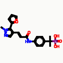 Cn1ncc(C=CC(=O)Nc2ccc(C(C)(C)P(=O)(O)O)cc2)c1-c1ccco1